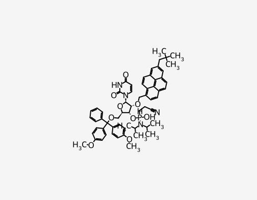 COc1ccc(C(OC[C@H]2O[C@@H](n3ccc(=O)[nH]c3=O)[C@H](OCc3ccc4ccc5cc(CC(C)(C)C)cc6ccc3c4c56)[C@@H]2O[PH](O)(CCC#N)N(C(C)C)C(C)C)(c2ccccc2)c2ccc(OC)cc2)cc1